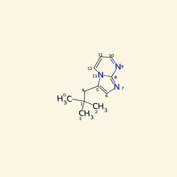 CC(C)(C)Cc1cnc2ncccn12